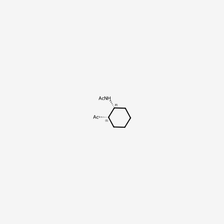 CC(=O)N[C@@H]1CCCC[C@@H]1C(C)=O